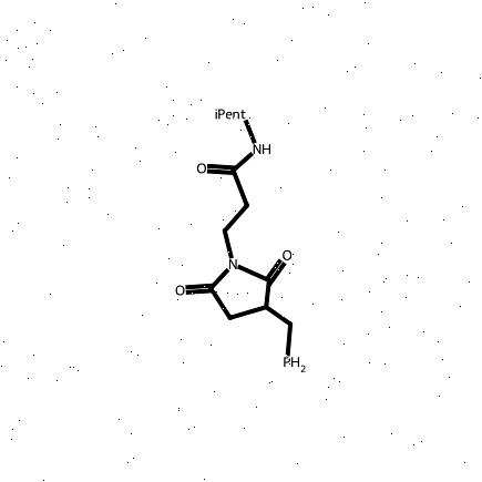 CCCC(C)NC(=O)CCN1C(=O)CC(CP)C1=O